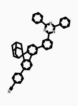 N#Cc1ccc(-c2ccc3c(c2)C2(c4ccc(-c5cccc(-c6nc(-c7ccccc7)nc(-c7ccccc7)n6)c5)cc4-3)C3CC4CC(C3)CC2C4)cc1